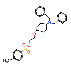 Cc1ccc(S(=O)(=O)OCCOC2CCC(N(Cc3ccccc3)Cc3ccccc3)CC2)cc1